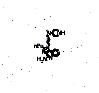 CCCCc1nc2c(N)nc3ccccc3c2n1C/C=C/CN(C)C1CCNCC1